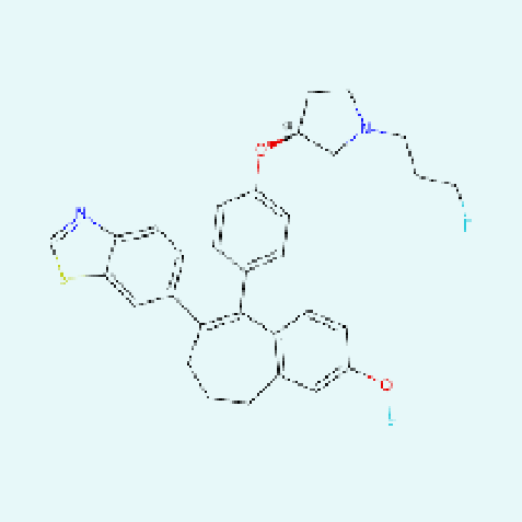 FCCCN1CC[C@H](Oc2ccc(C3=C(c4ccc5ncsc5c4)CCCc4cc(OF)ccc43)cc2)C1